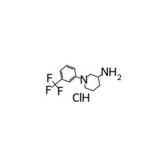 Cl.NC1CCCN(c2cccc(C(F)(F)F)c2)C1